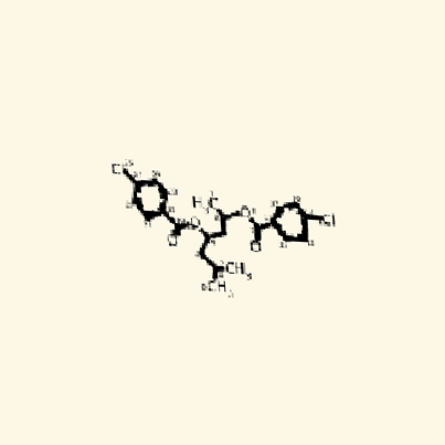 CC(C)CC(CC(C)OC(=O)c1ccc(Cl)cc1)OC(=O)c1ccc(Cl)cc1